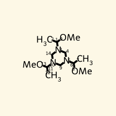 COC(C)N1CN(C(C)OC)CN(C(C)OC)C1